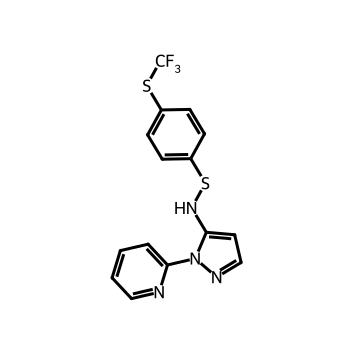 FC(F)(F)Sc1ccc(SNc2ccnn2-c2ccccn2)cc1